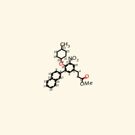 COC(=O)CCc1cc(-c2ccc3ccccc3c2)c(OC2CCC(C)CC2)c([N+](=O)[O-])c1